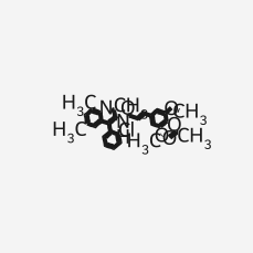 COc1cc(C=CC(=O)Nc2c(C)nc3c(C)cc(C)cc3c2-c2ccccc2Cl)cc(OC)c1OC(C)=O